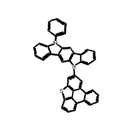 c1ccc(-n2c3ccccc3c3cc4c(cc32)c2ccccc2n4-c2cc3sc4cccc5c6ccccc6c(c2)c3c45)cc1